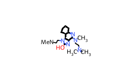 CNCCn1c(O)nc2c(N(C)CCN(C)C)nc3ccccc3c21